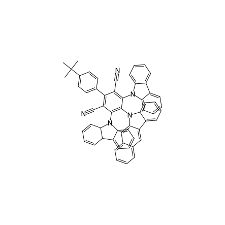 CC(C)(C)c1ccc(-c2c(C#N)c(N3c4ccccc4C4C=CC=CC43)c(-n3c4ccccc4c4cc5ccccc5cc43)c(-n3c4ccccc4c4ccccc43)c2C#N)cc1